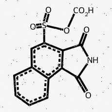 O=C(O)OS(=O)(=O)c1cc2ccccc2c2c1C(=O)NC2=O